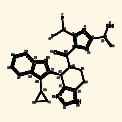 C[C@H](O)c1nc(C(F)F)c(C(=O)N2CCc3[nH]cnc3[C@H]2c2oc3ccccc3c2C2CC2)o1